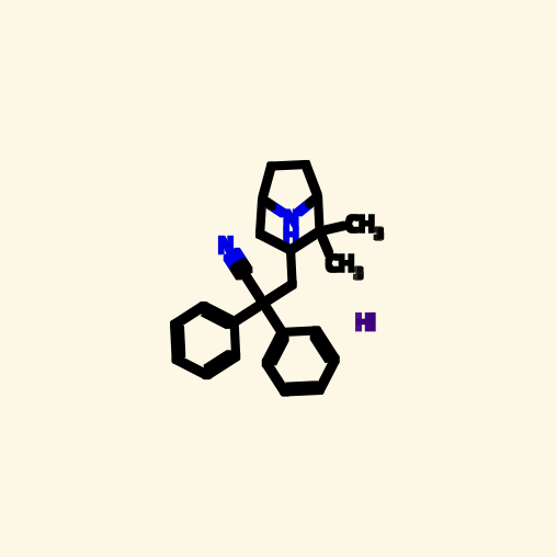 CC1(C)C(CC(C#N)(c2ccccc2)c2ccccc2)CC2CCC1N2.I